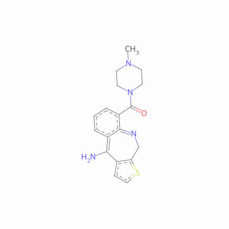 CN1CCN(C(=O)c2cccc3c2=NCc2sccc2C=3N)CC1